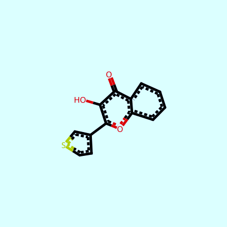 O=c1c(O)c(-c2ccsc2)oc2ccccc12